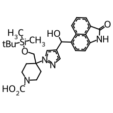 CC(C)(C)[Si](C)(C)OCC1(n2cc(C(O)c3ccc4c5c(cccc35)C(=O)N4)cn2)CCN(C(=O)O)CC1